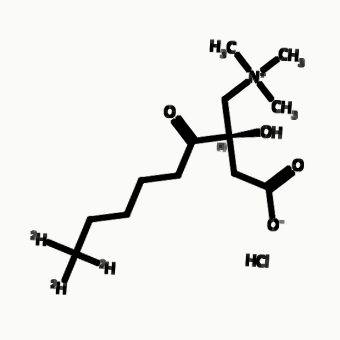 Cl.[2H]C([2H])([2H])CCCCC(=O)[C@@](O)(CC(=O)[O-])C[N+](C)(C)C